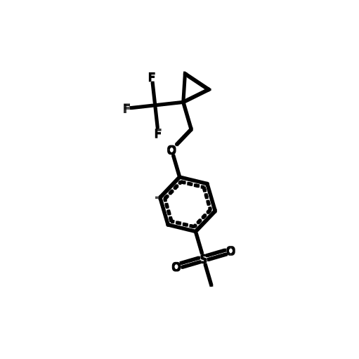 CS(=O)(=O)c1c[c]c(OCC2(C(F)(F)F)CC2)cc1